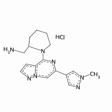 Cl.Cn1cc(-c2cn3nccc3c(N3CCCCC3CN)n2)cn1